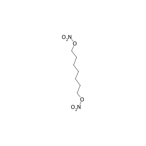 O=[N+]([O-])OCCCCCCCO[N+](=O)[O-]